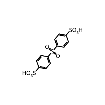 O=S(=O)(O)c1ccc(S(=O)(=O)c2ccc(S(=O)(=O)O)cc2)cc1